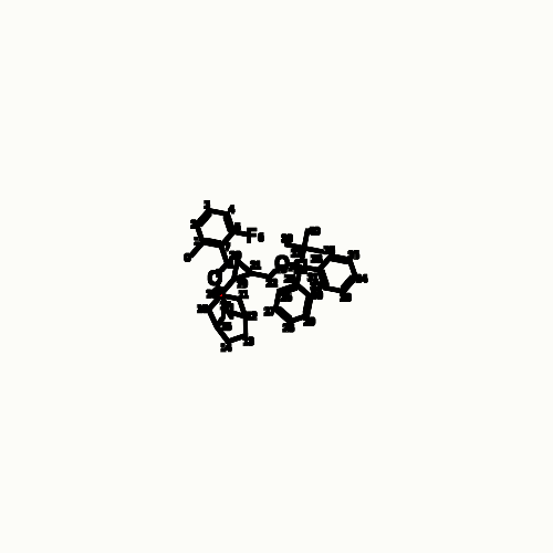 Cc1cccc(F)c1COC1CC2CCC(C1)N2CC1CC1CO[Si](c1ccccc1)(c1ccccc1)C(C)(C)C